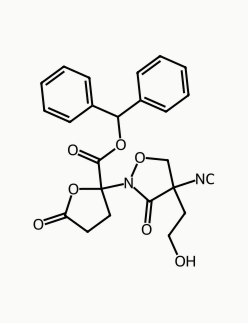 [C-]#[N+]C1(CCO)CON(C2(C(=O)OC(c3ccccc3)c3ccccc3)CCC(=O)O2)C1=O